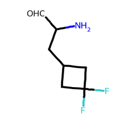 NC(C=O)CC1CC(F)(F)C1